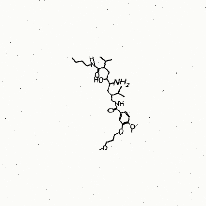 CCCCNC(=O)C(CC(O)C(N)CC(CNC(=O)c1ccc(OC)c(OCCCOC)c1)C(C)C)C(C)C